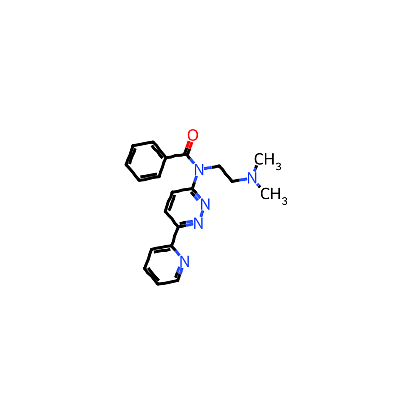 CN(C)CCN(C(=O)c1ccccc1)c1ccc(-c2ccccn2)nn1